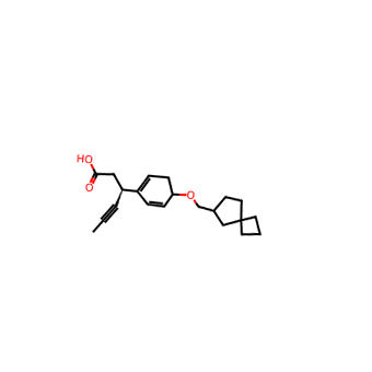 CC#C[C@@H](CC(=O)O)C1=CCC(OCC2CCC3(CCC3)C2)C=C1